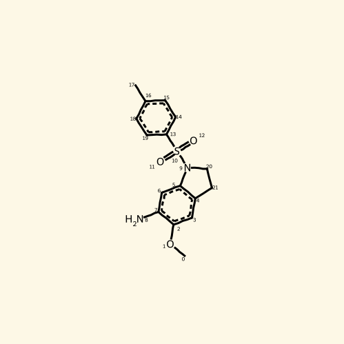 COc1cc2c(cc1N)N(S(=O)(=O)c1ccc(C)cc1)CC2